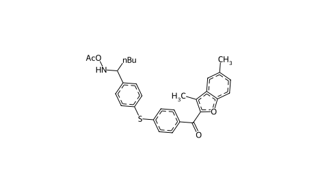 CCCCC(NOC(C)=O)c1ccc(Sc2ccc(C(=O)c3oc4ccc(C)cc4c3C)cc2)cc1